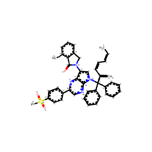 C=C(/C=C\C=C/C)C(c1ccccc1)(c1ccccc1)n1cc(N2Cc3cccc(C#N)c3C2=O)c2nc(-c3ccc(S(=O)(=O)C(C)C)cc3)cnc21